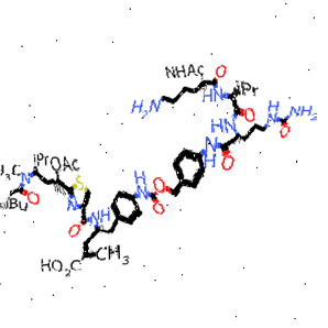 CC[C@H](C)CC(=O)N(C)C(C[C@@H](OC(C)=O)c1nc(C(=O)N[C@@H](Cc2ccc(NC(=O)OCc3ccc(NC(=O)[C@H](CCCNC(N)=O)NC(=O)C(NC(=O)[C@H](CCCCN)NC(C)=O)C(C)C)cc3)cc2)C[C@H](C)C(=O)O)cs1)C(C)C